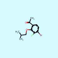 CC(=O)c1ccc(Br)c(F)c1OCC(C)C